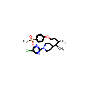 CC(CCOc1ccc(S(C)(=O)=O)cc1)C(C)C1CCN(c2ncc(Cl)cn2)CC1